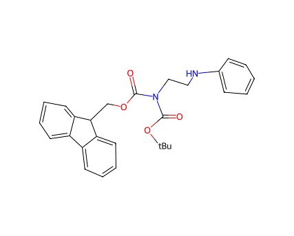 CC(C)(C)OC(=O)N(CCNc1ccccc1)C(=O)OCC1c2ccccc2-c2ccccc21